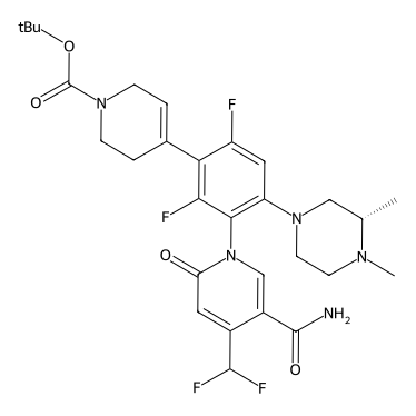 C[C@H]1CN(c2cc(F)c(C3=CCN(C(=O)OC(C)(C)C)CC3)c(F)c2-n2cc(C(N)=O)c(C(F)F)cc2=O)CCN1C